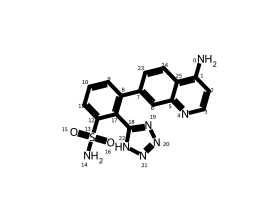 Nc1ccnc2cc(-c3cccc(S(N)(=O)=O)c3-c3nnn[nH]3)ccc12